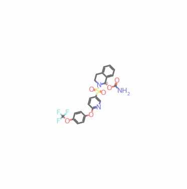 NC(=O)O[C@@H]1c2ccccc2CCN1S(=O)(=O)c1ccc(Oc2ccc(OC(F)(F)F)cc2)nc1